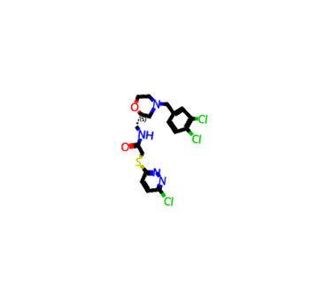 O=C(CSc1ccc(Cl)nn1)NC[C@H]1CN(Cc2ccc(Cl)c(Cl)c2)CCO1